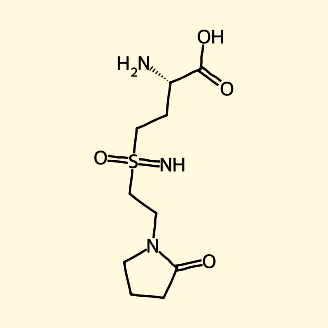 N=S(=O)(CC[C@H](N)C(=O)O)CCN1CCCC1=O